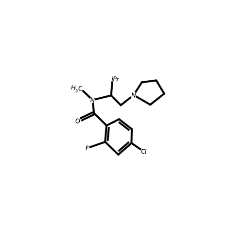 CC(C)C(CN1CCCC1)N(C)C(=O)c1ccc(Cl)cc1F